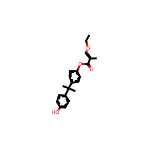 CCOC=C(C)C(=O)Oc1ccc(C(C)(C)c2ccc(O)cc2)cc1